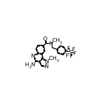 CN(Cc1ccc(S(F)(F)(F)(F)F)cc1)C(=O)c1ccc2nc(N)c3cnn(C)c3c2c1